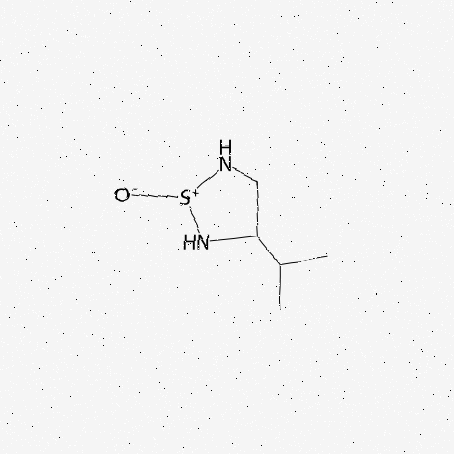 CC(C)C1CN[S+]([O-])N1